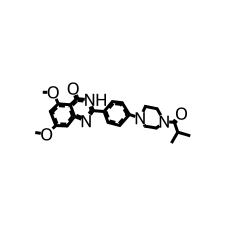 COc1cc(OC)c2c(=O)[nH]c(-c3ccc(N4CCN(C(=O)C(C)C)CC4)cc3)nc2c1